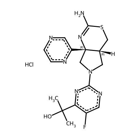 CC(C)(O)c1nc(N2C[C@H]3CSC(N)=N[C@@]3(c3cnccn3)C2)ncc1F.Cl